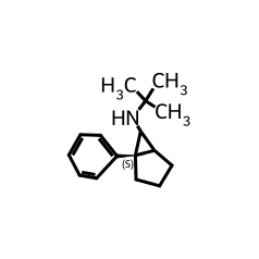 CC(C)(C)NC1C2CCC[C@@]21c1ccccc1